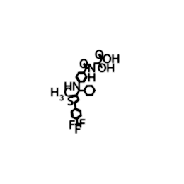 Cc1sc(-c2ccc(C(F)(F)F)cc2)cc1C(Nc1ccc(C(=O)NCC(O)C(=O)O)cc1)C1CCCCC1